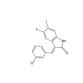 O=C1Nc2cc(I)c(F)cc2/C1=C\c1cccc(Cl)c1